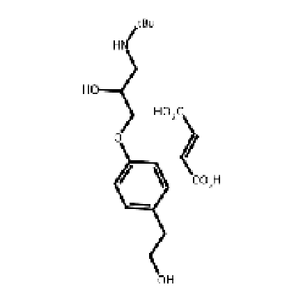 CC(C)(C)NCC(O)COc1ccc(CCO)cc1.O=C(O)C=CC(=O)O